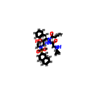 CC(C)CC(=O)N(NC(=O)CNC1CC1)[C@@H](Cc1ccccc1)[C@H](O)CN(CC(C)C)S(=O)(=O)c1ccc2ccccc2c1